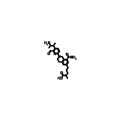 C/C(N)=C(/C)c1ccc(N2CCc3cc(CCCN(C)C(=O)O)cc(C(N)=O)c3C2)nc1C=O